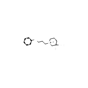 O[C@H]1C[N+]2(CCCOc3ccccc3)CCC1CC2